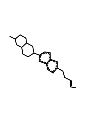 CC=CCCc1ccc2cc(C3CCC4CC(C)CCC4C3)ccc2c1